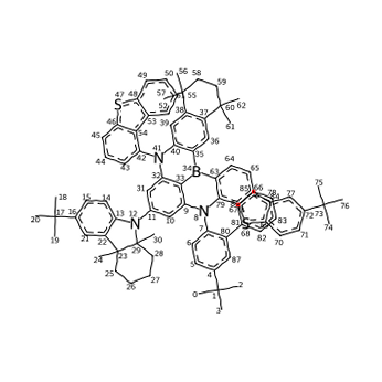 CC(C)(C)c1ccc(N2c3cc(N4c5ccc(C(C)(C)C)cc5C5(C)CCCCC45C)cc4c3B(c3cc5c(cc3N4c3cccc4sc6ccccc6c34)C(C)(C)CCC5(C)C)c3ccc4c(sc5ccc(C(C)(C)C)cc54)c32)c(-c2ccccc2)c1